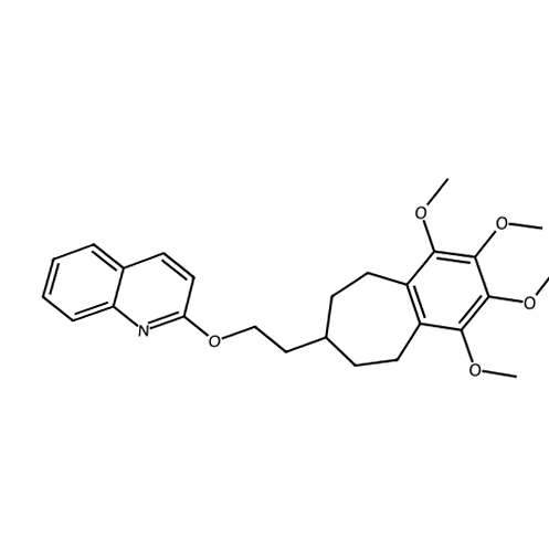 COc1c2c(c(OC)c(OC)c1OC)CCC(CCOc1ccc3ccccc3n1)CC2